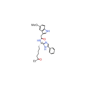 CCC(=O)CCCCC[C@H](NC(=O)Cc1c[nH]c2ccc(OC)cc12)c1ncc(-c2ccccc2)[nH]1